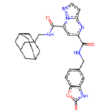 O=C(NCc1ccc2oc(=O)[nH]c2c1)c1cc(C(=O)NCC23CC4CC(CC(C4)C2)C3)n2nccc2n1